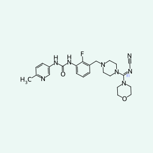 Cc1ccc(NC(=O)Nc2cccc(CN3CCN(/C(=N\C#N)N4CCOCC4)CC3)c2F)cn1